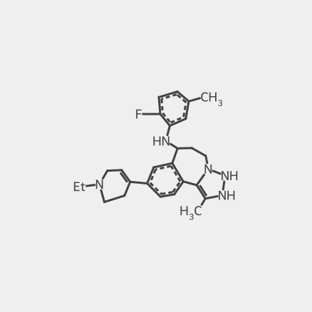 CCN1CC=C(c2ccc3c(c2)C(Nc2cc(C)ccc2F)CCN2NNC(C)=C32)CC1